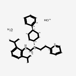 CC(C)c1cccc(C(C)C)c1NC(=O)N(CCc1ccccn1)[C@H]1CC[C@H](c2ccccc2)CC1.Cl.O